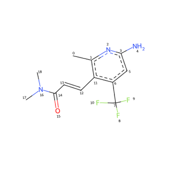 Cc1nc(N)cc(C(F)(F)F)c1C=CC(=O)N(C)C